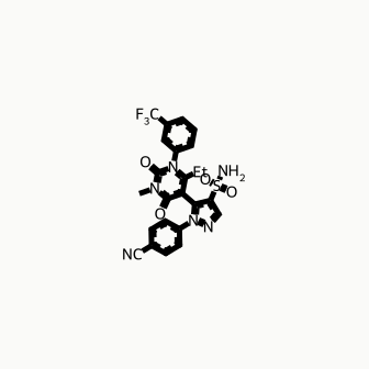 CCc1c(-c2c(S(N)(=O)=O)cnn2-c2ccc(C#N)cc2)c(=O)n(C)c(=O)n1-c1cccc(C(F)(F)F)c1